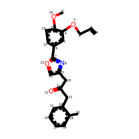 C=CCOc1cc(-c2nc(CC(=O)Cc3ccccc3C)co2)ccc1OC